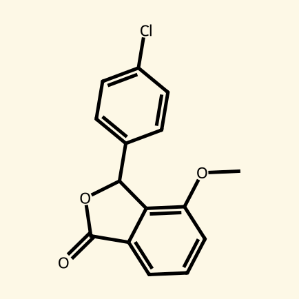 COc1cccc2c1C(c1ccc(Cl)cc1)OC2=O